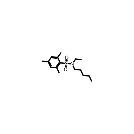 CCCCCN(CC)S(=O)(=O)c1c(C)cc(C)cc1C